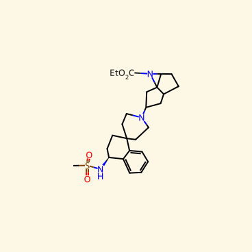 CCOC(=O)N1C2CCC3CC(N4CCC5(CC[C@H](NS(C)(=O)=O)c6ccccc65)CC4)CC321